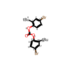 CC(C)(C)c1cc(Br)ccc1OC(=O)Oc1ccc(Br)cc1C(C)(C)C